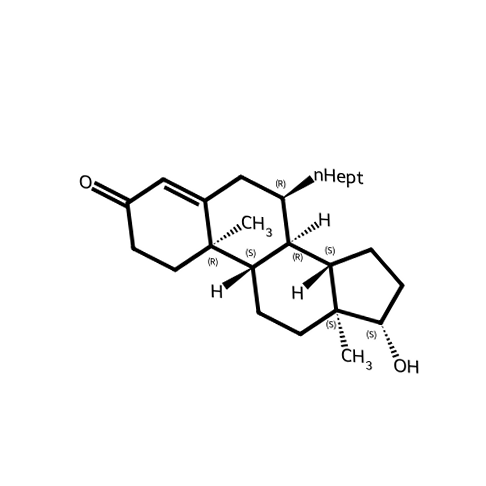 CCCCCCC[C@@H]1CC2=CC(=O)CC[C@]2(C)[C@H]2CC[C@]3(C)[C@@H](O)CC[C@H]3[C@H]12